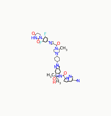 C[C@H]1CN(C2CCC(n3cc4cc(NC(=O)c5ccc6cc(C#N)cnn56)c(C(C)(C)O)cc4n3)CC2)CCN1C(=O)C1CN(c2cc(F)c(N3CCC(=O)NC3=O)c(F)c2)C1